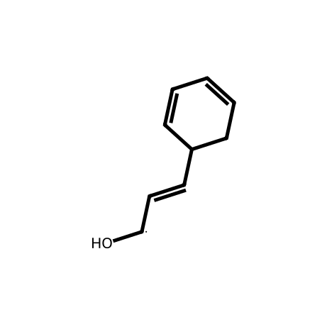 O[CH]C=CC1C=CC=CC1